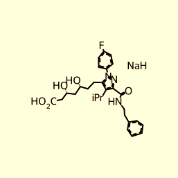 CC(C)c1c(C(=O)NCCc2ccccc2)nn(-c2ccc(F)cc2)c1CC[C@@H](O)C[C@@H](O)CC(=O)O.[NaH]